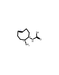 N[C@H]1CC/C=C/CC[C@H]1NC(=O)S